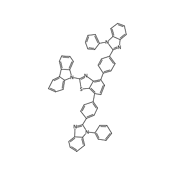 c1ccc(-n2c(-c3ccc(-c4ccc(-c5ccc(-c6nc7ccccc7n6-c6ccccc6)cc5)c5sc(-n6c7ccccc7c7ccccc76)nc45)cc3)nc3ccccc32)cc1